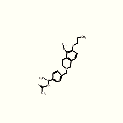 CCCOc1ccc2c(c1OC)CCN(Cc1ccc([C@H](C)NC(C)=O)cc1)C2